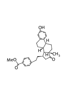 COC(=O)c1ccc(CC[C@@H]2CC(=O)[C@@]3(C)CC[C@@H]4c5ccc(O)cc5CC[C@H]4[C@H]23)cc1